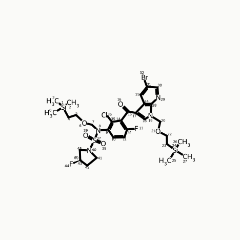 C[Si](C)(C)CCOCN(c1ccc(F)c(C(=O)c2cn(COCC[Si](C)(C)C)c3ncc(Br)cc23)c1Cl)S(=O)(=O)N1CC[C@@H](F)C1